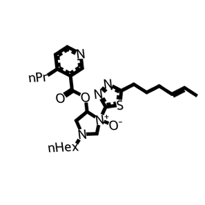 CC=CCCCc1nnc([N+]2([O-])CN(CCCCCC)CC2OC(=O)c2cnccc2CCC)s1